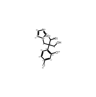 CCC(O)C(CO)(Cn1cncn1)c1ccc(Cl)cc1Cl